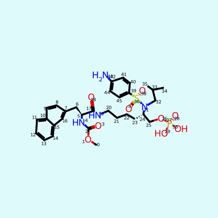 COC(=O)N[C@@H](Cc1ccc2ccccc2c1)C(=O)NCCCC[C@@H](COP(=O)(O)O)N(CC(C)C)S(=O)(=O)c1ccc(N)cc1